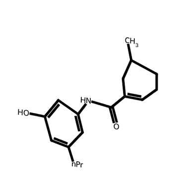 CCCc1cc(O)cc(NC(=O)C2=CCCC(C)C2)c1